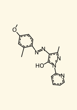 COc1ccc(N=Nc2c(C)nn(-c3ccccn3)c2O)c(C)c1